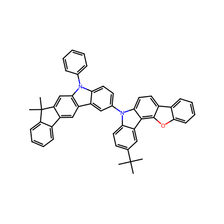 CC(C)(C)c1ccc2c(c1)c1c3oc4ccccc4c3ccc1n2-c1ccc2c(c1)c1cc3c(cc1n2-c1ccccc1)C(C)(C)c1ccccc1-3